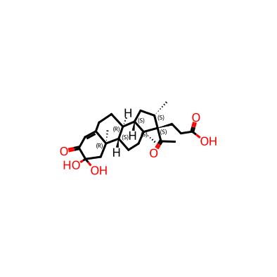 CC(=O)[C@@]1(CCC(=O)O)[C@@H](C)C[C@H]2[C@@H]3CCC4=CC(=O)C(O)(O)C[C@]4(C)[C@H]3CC[C@@]21C